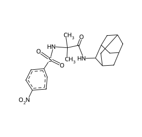 CC(C)(NS(=O)(=O)c1ccc([N+](=O)[O-])cc1)C(=O)NC1C2CC3CC(C2)CC1C3